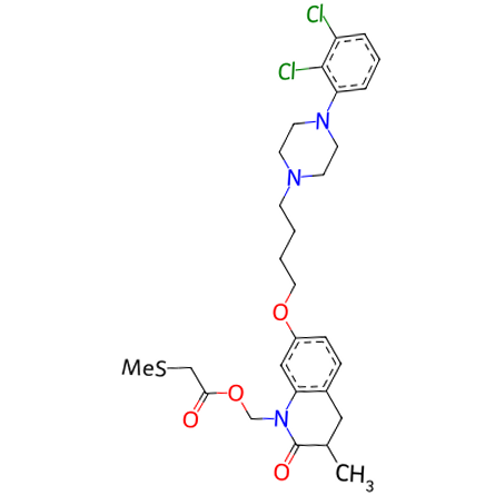 CSCC(=O)OCN1C(=O)C(C)Cc2ccc(OCCCCN3CCN(c4cccc(Cl)c4Cl)CC3)cc21